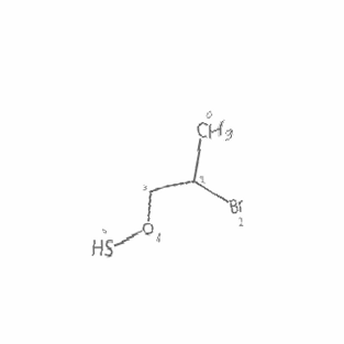 CC(Br)COS